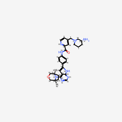 N[C@@H]1CCCN(Cc2ccnc(C(=O)Nc3ccc(-c4cc5c(N6[C@@H]7CC[C@H]6COC7)ncnc5[nH]4)cc3)c2)C1